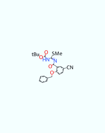 CS/C(=N/C(=O)c1cc(C#N)ccc1OCc1ccccc1)NC(=O)OC(C)(C)C